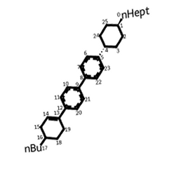 CCCCCCC[C@H]1CC[C@H](c2ccc(-c3ccc(C4=CCC(CCCC)CC4)cc3)cc2)CC1